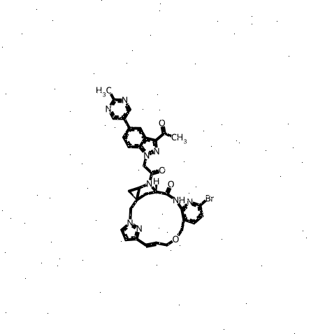 CC(=O)c1nn(CC(=O)N2C3C[C@]34C[C@H]2C(=O)Nc2nc(Br)ccc2COC/C=C/c2ccn(n2)C4)c2ccc(-c3cnc(C)nc3)cc12